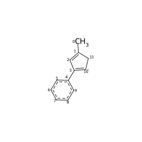 CC1=CC(c2ccccc2)=[C]C1